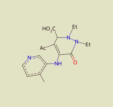 CCN1C(=O)C(Nc2cnccc2C)=C(C(C)=O)C(C(=O)O)N1CC